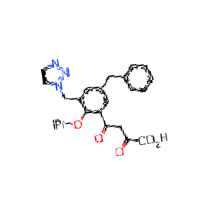 CC(C)Oc1c(Cn2ccnn2)cc(Cc2ccccc2)cc1C(=O)CC(=O)C(=O)O